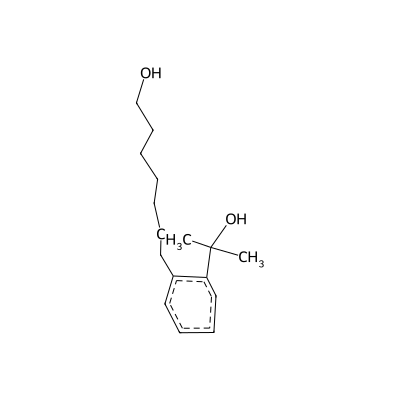 CC(C)(O)c1ccccc1CCCCCCCO